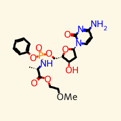 COCCOC(=O)[C@H](C)NP(=O)(OC[C@@H]1O[C@H](n2ccc(N)nc2=O)C[C@H]1O)Oc1ccccc1